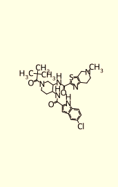 CN1CCc2nc(C(=O)NC3CN(C(=O)C(C)(C)C)CCC3NC(=O)c3cc4cc(Cl)ccc4[nH]3)sc2C1